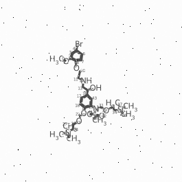 COc1cc(Br)ccc1OCCNC[C@H](O)c1ccc(OCOCC[Si](C)(C)C)c(N(COCC[Si](C)(C)C)S(C)(=O)=O)c1